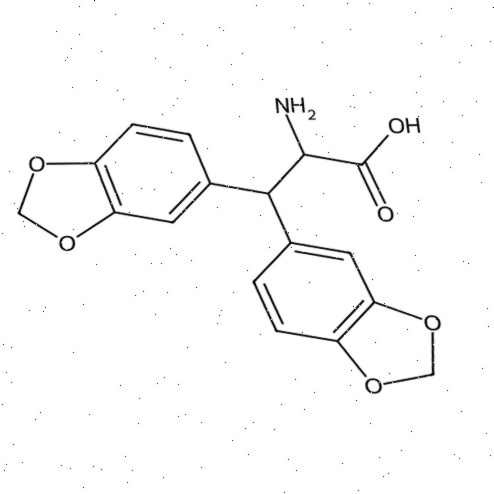 NC(C(=O)O)C(c1ccc2c(c1)OCO2)c1ccc2c(c1)OCO2